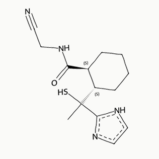 CC(S)(c1ncc[nH]1)[C@H]1CCCC[C@@H]1C(=O)NCC#N